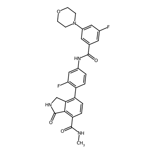 CNC(=O)c1ccc(-c2ccc(NC(=O)c3cc(F)cc(N4CCOCC4)c3)cc2F)c2c1C(=O)NC2